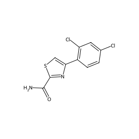 NC(=O)c1nc(-c2ccc(Cl)cc2Cl)cs1